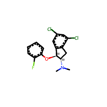 CN(C)[C@H]1Cc2c(Cl)cc(Cl)cc2[C@@H]1Oc1ccccc1F